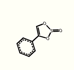 O=S1OC=C(c2ccccc2)O1